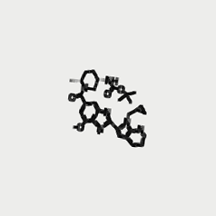 COc1cc(C(=O)N2C[C@@H](NC(=O)OC(C)(C)C)CC[C@H]2C)cc2nc(-c3cc4cccnc4n3CC3CC3)n(C)c12